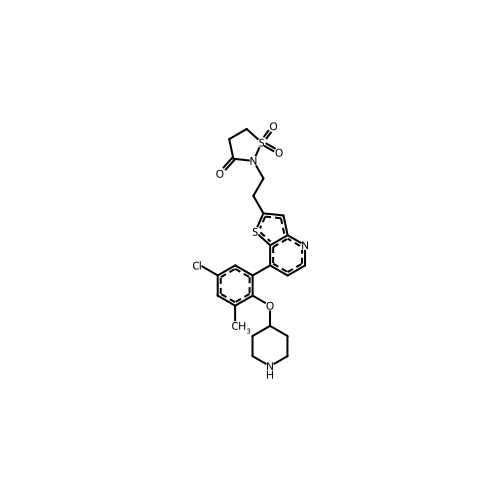 Cc1cc(Cl)cc(-c2ccnc3cc(CCN4C(=O)CCS4(=O)=O)sc23)c1OC1CCNCC1